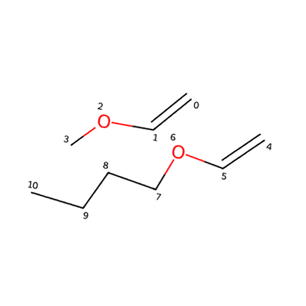 C=COC.C=COCCCC